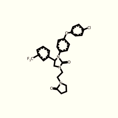 O=C1CCCN1CCN1CC(c2cccc(C(F)(F)F)c2)N(c2ccc(Oc3ccc(Cl)cc3)cc2)C1=O